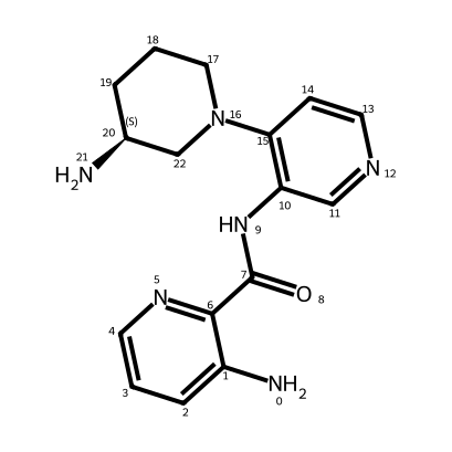 Nc1cccnc1C(=O)Nc1cnccc1N1CCC[C@H](N)C1